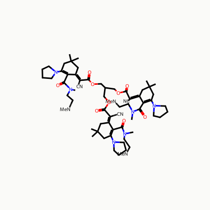 CNCCN(C)C(=O)C1=C(N2CCCC2)CC(C)(C)C/C1=C(/C#N)C(=O)OCC(COC(=O)/C(C#N)=C1\CC(C)(C)CC(N2CCCC2)=C1C(=O)N(C)CCNC)COC(=O)/C(C#N)=C1\CC(C)(C)CC(N2CCCC2)=C1C(=O)N(C)CCNC